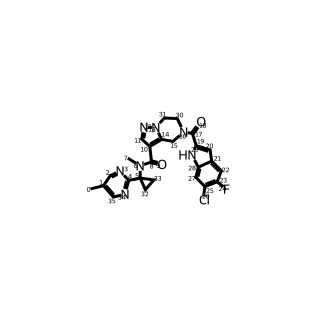 Cc1cnc(C2(N(C)C(=O)c3cnn4c3CN(C(=O)c3cc5cc(F)c(Cl)cc5[nH]3)CC4)CC2)nc1